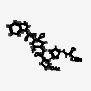 COC(=O)CCc1cnc([C@@H]2[C@@H](OC(C)=O)CCN2C(=O)Cc2cc(Cl)c(NC(=O)c3csc4ccccc34)cc2F)s1